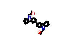 c1ccc2c(c1)c1cc(-c3ccc4c(c3)c3ccccc3n4CC3CO3)ccc1n2CC1CO1